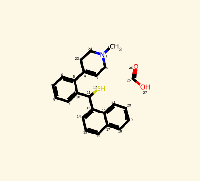 CN1CC=C(c2ccccc2C(S)c2cccc3ccccc23)CC1.O=CO